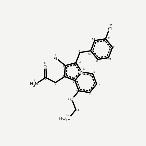 CCc1c(CC(N)=O)c2c(OCC(=O)O)cccn2c1Cc1cccc(Cl)c1